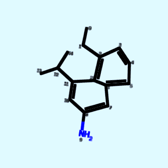 CCc1cccc2cc(N)cc(C(C)C)c12